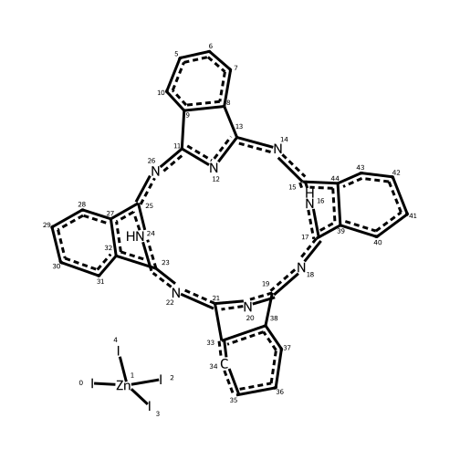 [I][Zn]([I])([I])[I].c1ccc2c(c1)-c1nc-2nc2[nH]c(nc3nc(nc4[nH]c(n1)c1ccccc41)-c1ccccc1-3)c1ccccc21